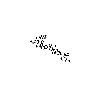 C[C@H]1C[C@@H](c2nc3c(ccc4cc(-c5ccc(NC(=O)N6CCN(C7CCN(C(=O)[C@H]8CC8(C)C)CC7)CC6)cc5OC(F)(F)F)ccc43)[nH]2)N(C(=O)[C@@H](NC(=O)O)C2CCOCC2)C1